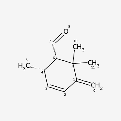 C=C1C=C[C@H](C)[C@H](C=O)C1(C)C